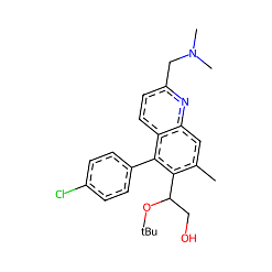 Cc1cc2nc(CN(C)C)ccc2c(-c2ccc(Cl)cc2)c1C(CO)OC(C)(C)C